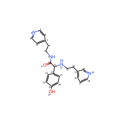 O=C(NCCc1ccncc1)C(NCCc1cccnc1)c1ccc(O)cc1